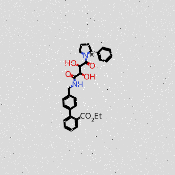 CCOC(=O)c1ccccc1-c1ccc(CNC(=O)C(O)C(O)C(=O)N2CCC[C@@H]2c2ccccc2)cc1